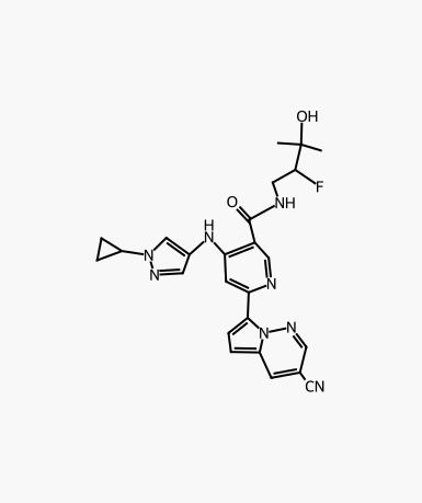 CC(C)(O)C(F)CNC(=O)c1cnc(-c2ccc3cc(C#N)cnn23)cc1Nc1cnn(C2CC2)c1